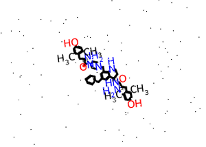 Cc1cc(O)cc(C)c1C[C@H](N)C(=O)N[C@@H]1CCNc2c(CN3CCN(C(=O)[C@@H](N)Cc4c(C)cc(O)cc4C)CC3)cc(Cc3ccccc3)cc21